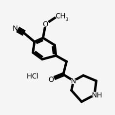 COc1cc(CC(=O)N2CCNCC2)ccc1C#N.Cl